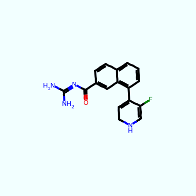 NC(N)=NC(=O)c1ccc2cccc(C3=CCNC=C3F)c2c1